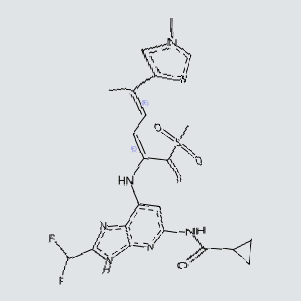 C=C(/C(=C\C=C(/C)c1cn(C)cn1)Nc1cc(NC(=O)C2CC2)nc2[nH]c(C(F)F)nc12)S(C)(=O)=O